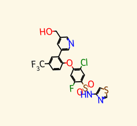 O=S(=O)(Nc1cscn1)c1cc(Cl)c(Oc2ccc(C(F)(F)F)cc2-c2cncc(CO)c2)cc1F